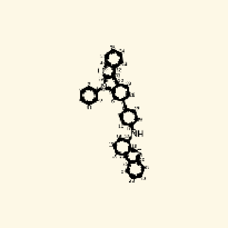 c1ccc(-n2c3cc(-c4ccc(Nc5cccc6c5sc5ccccc56)cc4)ccc3c3c4ccccc4oc32)cc1